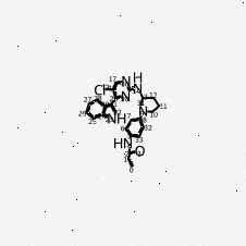 C=CC(=O)Nc1ccc(N2CCCC(Nc3ncc(Cl)c(-c4c[nH]c5ccccc45)n3)C2)cc1